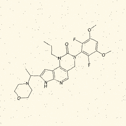 CCCN1C(=O)N(c2c(F)c(OC)cc(OC)c2F)Cc2cnc3[nH]c(C(C)N4CCOCC4)cc3c21